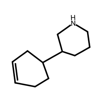 C1=CCC(C2CCCNC2)CC1